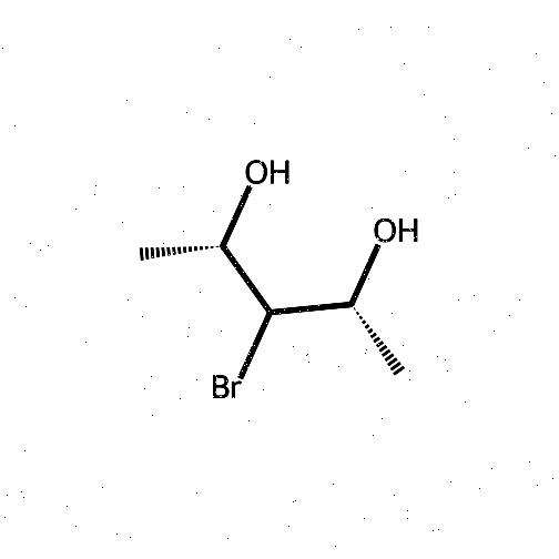 C[C@H](O)C(Br)[C@@H](C)O